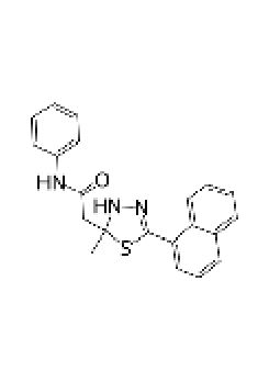 CC1(CC(=O)Nc2ccccc2)NN=C(c2cccc3ccccc23)S1